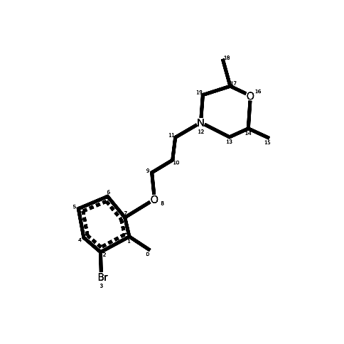 Cc1c(Br)cccc1OCCCN1CC(C)OC(C)C1